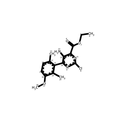 CCOC(=O)c1nc(Cl)nc(-c2c(C)ccc(OC)c2C)c1N